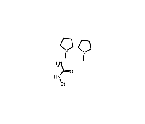 CCNC(N)=O.CN1CCCC1.CN1CCCC1